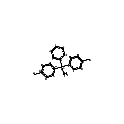 B[PH](c1ccccc1)(c1ccc(C)cc1)c1ccc(C)cc1